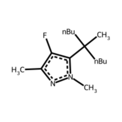 CCCCC(C)(CCCC)c1c(F)c(C)nn1C